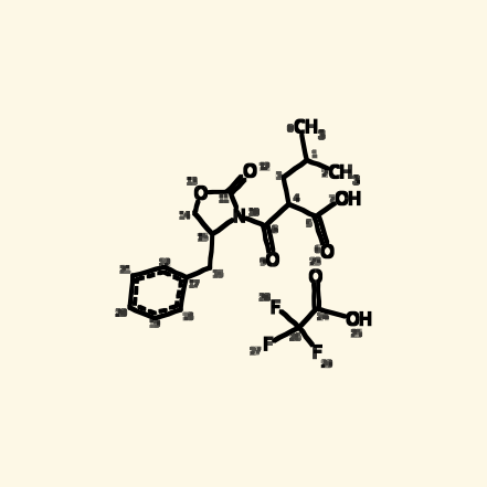 CC(C)CC(C(=O)O)C(=O)N1C(=O)OCC1Cc1ccccc1.O=C(O)C(F)(F)F